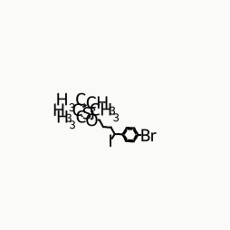 CC(C)(C)[Si](C)(C)OCCCC(I)c1ccc(Br)cc1